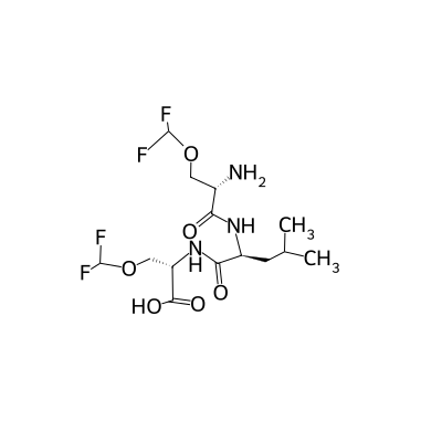 CC(C)C[C@H](NC(=O)[C@@H](N)COC(F)F)C(=O)N[C@@H](COC(F)F)C(=O)O